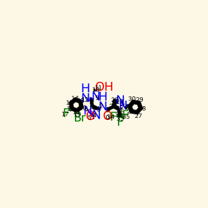 O=C(Nc1nonc1/C(=N/CO)Nc1ccc(F)c(Br)c1)c1cnn(-c2ccccc2)c1C(F)(F)F